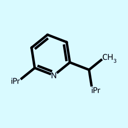 CC(C)c1cccc(C(C)C(C)C)n1